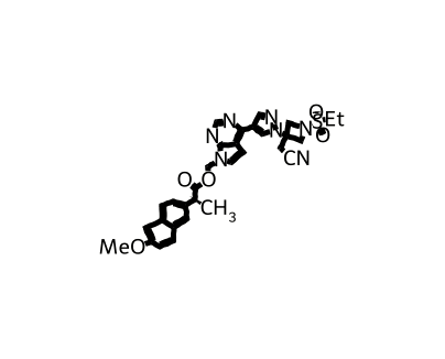 CCS(=O)(=O)N1CC(CC#N)(n2cc(-c3ncnc4c3ccn4COC(=O)[C@@H](C)c3ccc4cc(OC)ccc4c3)cn2)C1